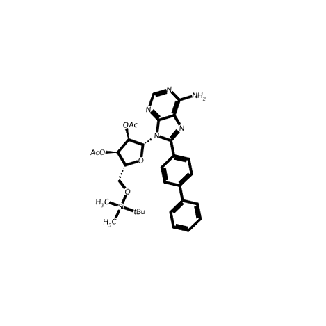 CC(=O)O[C@@H]1[C@H](OC(C)=O)[C@@H](CO[Si](C)(C)C(C)(C)C)O[C@H]1n1c(-c2ccc(-c3ccccc3)cc2)nc2c(N)ncnc21